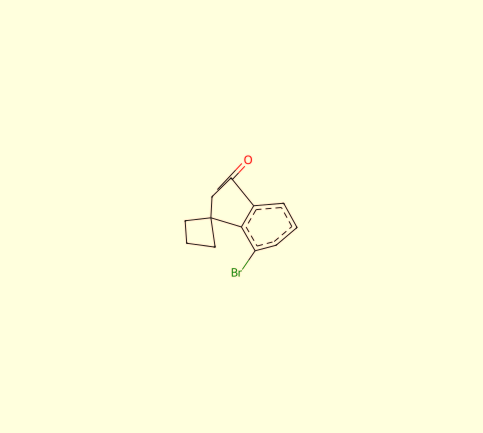 O=C1CC2(CCC2)c2c(Br)cccc21